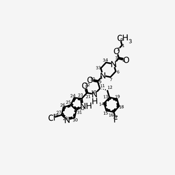 CCOC(=O)N1CCN(C(=O)[C@H](Cc2ccc(F)cc2)NC(=O)c2cc3cc(Cl)ncc3[nH]2)CC1